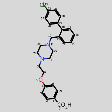 O=C(O)c1ccc(OCCN2CCN(Cc3ccccc3-c3ccc(Cl)cc3)CC2)cc1